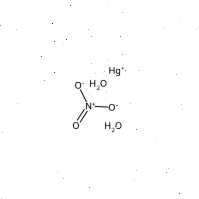 O.O.O=[N+]([O-])[O-].[Hg+]